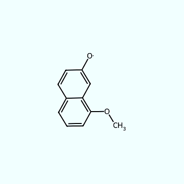 COc1cccc2ccc([O])cc12